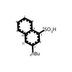 CCCCc1cc(S(=O)(=O)O)c2ccccc2c1